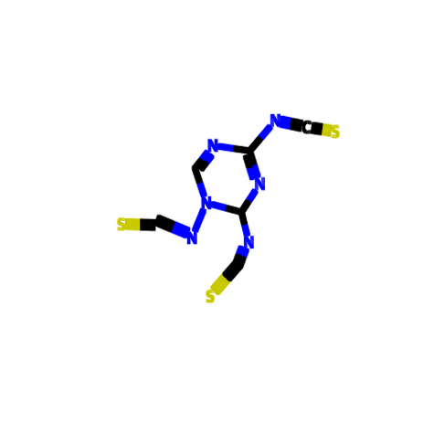 S=C=NC1=NC(N=C=S)N(N=C=S)C=N1